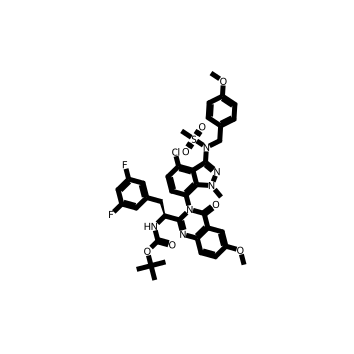 COc1ccc(CN(c2nn(C)c3c(-n4c([C@H](Cc5cc(F)cc(F)c5)NC(=O)OC(C)(C)C)nc5ccc(OC)cc5c4=O)ccc(Cl)c23)S(C)(=O)=O)cc1